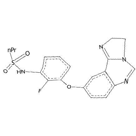 CCCS(=O)(=O)Nc1cccc(Oc2ccc3c(c2)C2=NCCN2C=N3)c1F